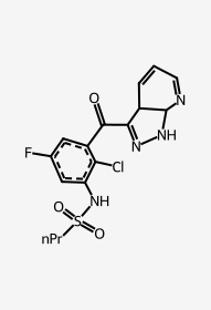 CCCS(=O)(=O)Nc1cc(F)cc(C(=O)C2=NNC3N=CC=CC23)c1Cl